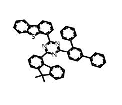 CC1(C)c2ccccc2-c2c(-c3nc(-c4ccc(-c5ccccc5)cc4-c4ccccc4)nc(-c4cccc5c4sc4ccccc45)n3)cccc21